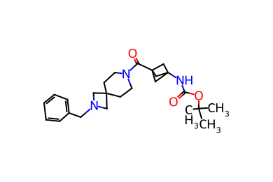 CC(C)(C)OC(=O)NC12CC(C(=O)N3CCC4(CC3)CN(Cc3ccccc3)C4)(C1)C2